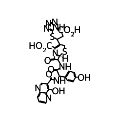 O=C(O)CC(Sc1nnn[nH]1)C1=C(C(=O)O)N2C(=O)C(NC(=O)C(NC(=O)c3cnc4cccnc4c3O)c3ccc(O)cc3)[C@@H]2SC1